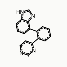 [c]1nccc(-c2ccccc2-c2cccc3[nH]cnc23)n1